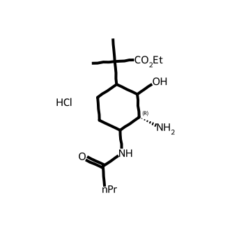 CCCC(=O)NC1CCC(C(C)(C)C(=O)OCC)C(O)[C@@H]1N.Cl